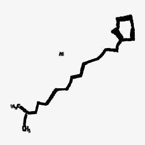 CP(C)CCCCCCCCCCCc1ccccc1.I